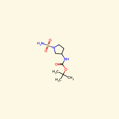 CC(C)(C)OC(=O)NC1CCN(S(N)(=O)=O)C1